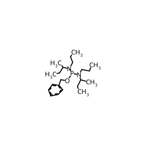 CCCN(C(C)CC)P(OCc1ccccc1)N(CCC)C(C)CC